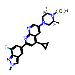 C[C@H]1CN(c2cnc3nc(-c4cc(F)c5nn(C)cc5c4)cc(C4CC4)c3c2)C[C@H](C)N1C(=O)O